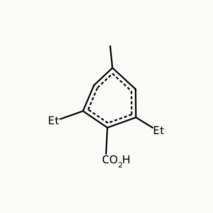 CCc1cc(C)cc(CC)c1C(=O)O